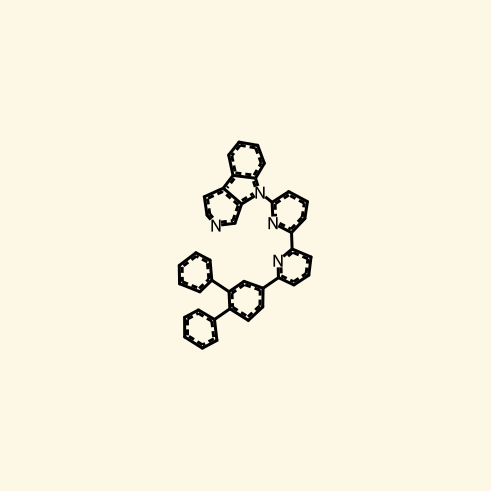 c1ccc(-c2ccc(-c3cccc(-c4cccc(-n5c6ccccc6c6ccncc65)n4)n3)cc2-c2ccccc2)cc1